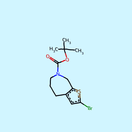 CC(C)(C)OC(=O)N1CCCc2cc(Br)sc2C1